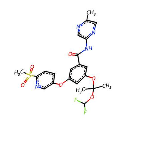 Cc1cnc(NC(=O)c2cc(Oc3ccc(S(C)(=O)=O)nc3)cc(OC(C)(C)OC(F)F)c2)cn1